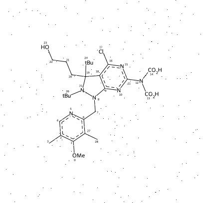 COc1c(C)cnc(CN2c3nc(N(C(=O)O)C(=O)O)nc(Cl)c3C(CCCO)(C(C)(C)C)N2C(C)(C)C)c1C